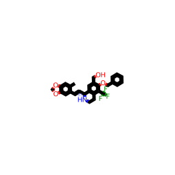 Cc1cc2c(cc1/C=C/C1NCCc3c1cc(CO)c(OCc1ccccc1)c3C(F)(F)F)OCO2